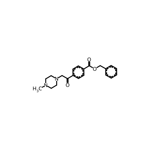 CN1CCN(CC(=O)c2ccc(C(=O)OCc3ccccc3)cc2)CC1